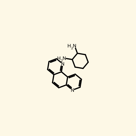 NC1CCCCC1N.c1cnc2c(c1)ccc1ncccc12